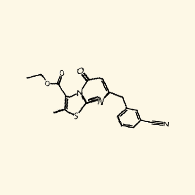 CCOC(=O)c1c(C)sc2nc(Cc3cccc(C#N)c3)cc(=O)n12